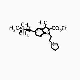 CCOC(=O)c1c(C)c2cc(C#C[Si](C)(C)C)ccc2n1CCN1CCCC1